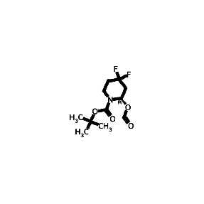 CC(C)(C)OC(=O)N1CCC(F)(F)C[C@H]1OC=O